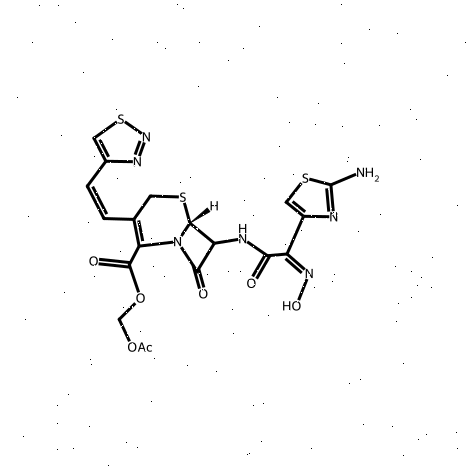 CC(=O)OCOC(=O)C1=C(/C=C\c2csnn2)CS[C@@H]2C(NC(=O)/C(=N\O)c3csc(N)n3)C(=O)N12